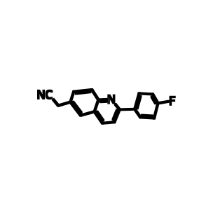 N#CCc1ccc2nc(-c3ccc(F)cc3)ccc2c1